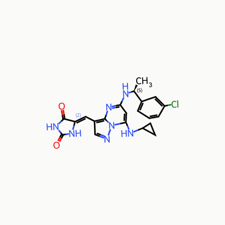 C[C@H](Nc1cc(NC2CC2)n2ncc(/C=C3\NC(=O)NC3=O)c2n1)c1cccc(Cl)c1